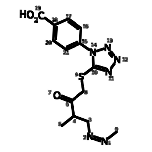 C/N=N\CC(C)C(=O)CSc1nnnn1-c1ccc(C(=O)O)cc1